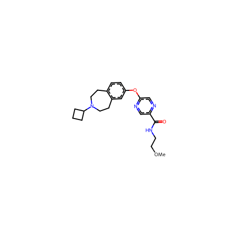 COCCNC(=O)c1cnc(Oc2ccc3c(c2)CCN(C2CCC2)CC3)cn1